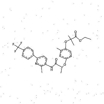 CCOC(=O)C(C)(C)Oc1ccc(OC(C)C(=O)Nc2ccc(-c3ccc(C(F)(F)F)cc3)nc2C)cc1C